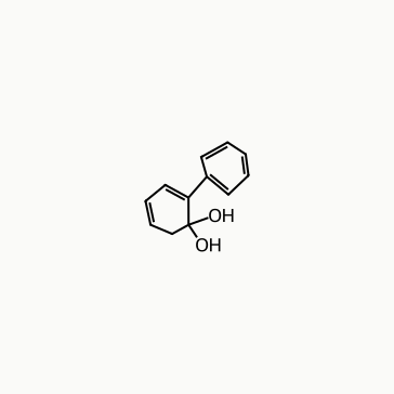 OC1(O)CC=CC=C1c1ccccc1